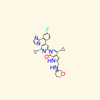 Cn1ccnc1-c1cc(F)ccc1-c1cc(C2CC2)nc(-n2cc(C3CC3)c3cc(CN[C@@H]4CCCOC4)[nH]c3c2=O)c1